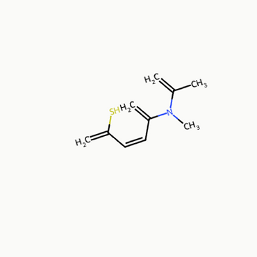 C=C(S)/C=C\C(=C)N(C)C(=C)C